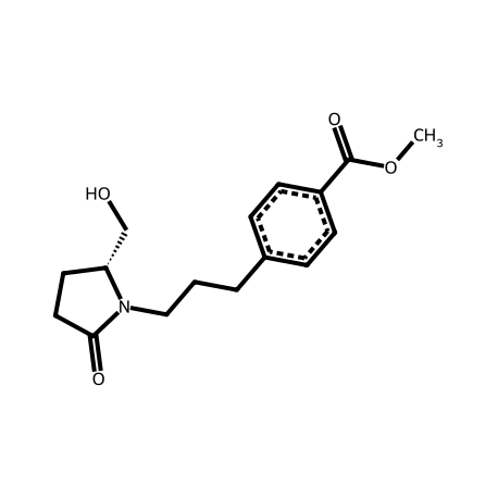 COC(=O)c1ccc(CCCN2C(=O)CC[C@@H]2CO)cc1